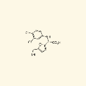 O=C(O)C(Nc1ccc(Cl)c(Cl)c1)c1ccc(CS)o1